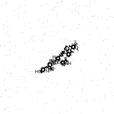 COc1ccc(CN2CCN(C3CC4(C3)CN(c3ccc(C(=O)NS(=O)(=O)c5ccc(NCC6CCC(C)(O)CC6)c([N+](=O)[O-])c5)c(Oc5cnc6[nH]cc(F)c6c5)c3)C4)[C@H](c3ccccc3C(C)C)C2)cc1OC